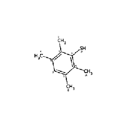 Cc1cc(C)c(C)c(S)c1C